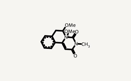 COC1Cc2ccccc2C2=CC(=O)N(C)C(=O)[N+]21OC